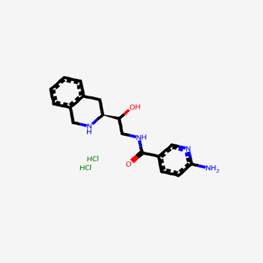 Cl.Cl.Nc1ccc(C(=O)NCC(O)[C@@H]2Cc3ccccc3CN2)cn1